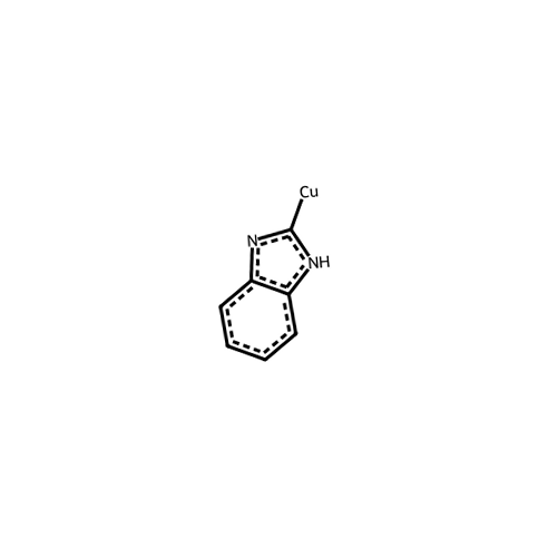 [Cu][c]1nc2ccccc2[nH]1